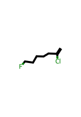 C=C(Cl)CCCCCF